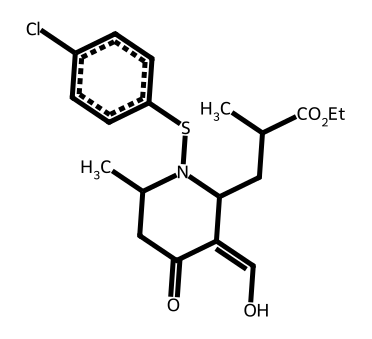 CCOC(=O)C(C)CC1/C(=C/O)C(=O)CC(C)N1Sc1ccc(Cl)cc1